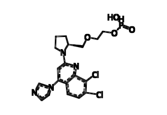 O=[PH](O)OCCOC[C@@H]1CCCN1c1cc(-n2ccnc2)c2ccc(Cl)c(Cl)c2n1